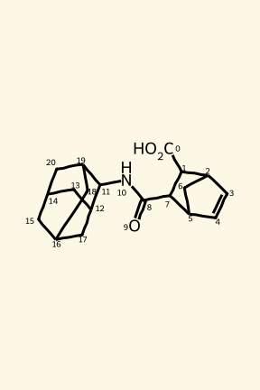 O=C(O)C1C2C=CC(C2)C1C(=O)NC1C2CC3CC(C2)CC1C3